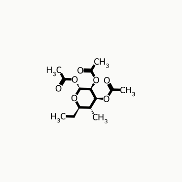 CC[C@H]1O[C@H](OC(C)=O)[C@@H](OC(C)=O)[C@@H](OC(C)=O)[C@@H]1C